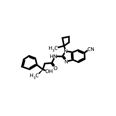 CC1(n2c(NC(=O)C[C@](C)(O)c3ccccc3)nc3ccc(C#N)cc32)CCC1